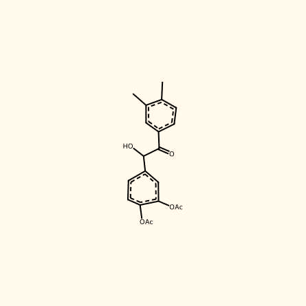 CC(=O)Oc1ccc(C(O)C(=O)c2ccc(C)c(C)c2)cc1OC(C)=O